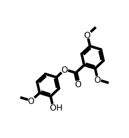 COc1ccc(OC)c(C(=O)Oc2ccc(OC)c(O)c2)c1